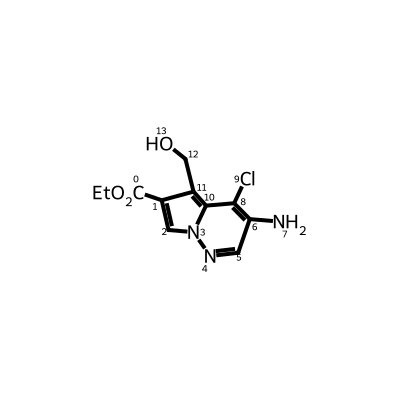 CCOC(=O)c1cn2ncc(N)c(Cl)c2c1CO